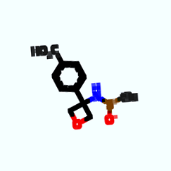 CC(C)(C)[S+]([O-])NC1(c2ccc(C(=O)O)cc2)COC1